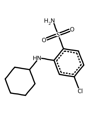 NS(=O)(=O)c1ccc(Cl)cc1NC1CCCCC1